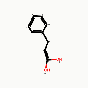 OC(O)=[C]Cc1ccccc1